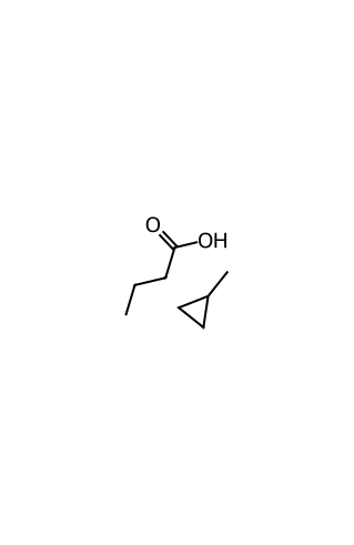 CC1CC1.CCCC(=O)O